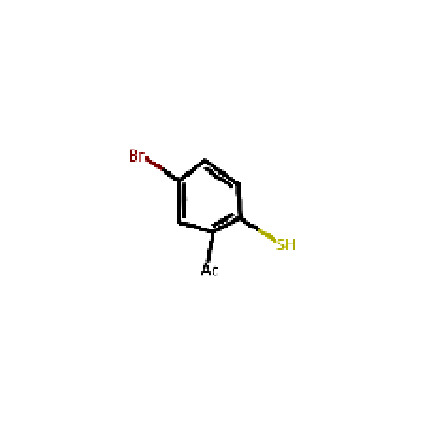 CC(=O)c1cc(Br)ccc1S